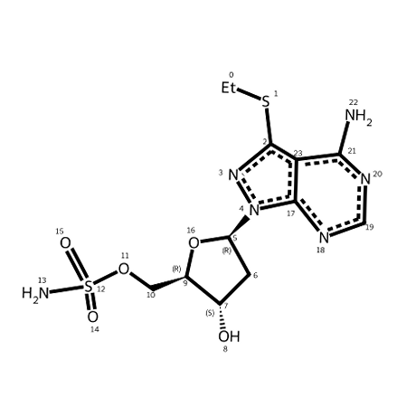 CCSc1nn([C@H]2C[C@H](O)[C@@H](COS(N)(=O)=O)O2)c2ncnc(N)c12